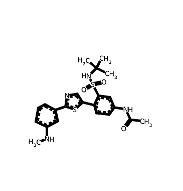 CNc1cccc(-c2ncc(-c3ccc(NC(C)=O)cc3S(=O)(=O)NC(C)(C)C)s2)c1